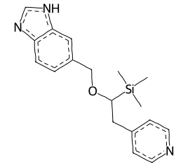 C[Si](C)(C)C(Cc1ccncc1)OCc1ccc2nc[nH]c2c1